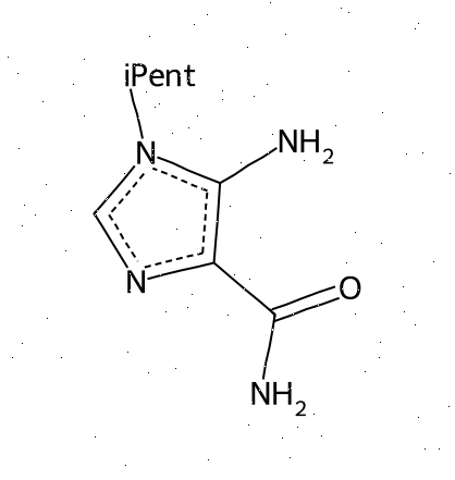 CCCC(C)n1cnc(C(N)=O)c1N